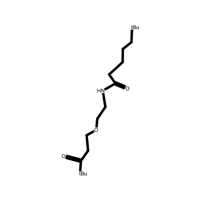 CC(C)(C)CCCCC(=O)NCCOCCC(=O)C(C)(C)C